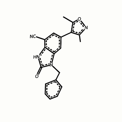 Cc1noc(C)c1-c1cc(C#N)c2[nH]c(=O)n(Cc3ccccc3)c2c1